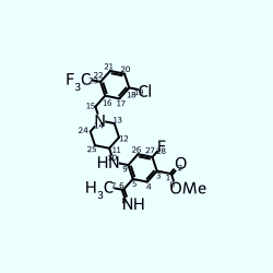 COC(=O)c1cc(C(C)=N)c(NC2CCN(Cc3cc(Cl)ccc3C(F)(F)F)CC2)cc1F